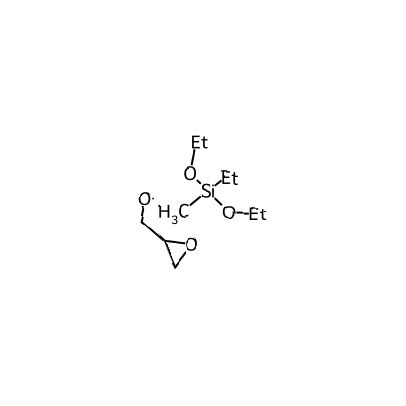 CCO[Si](C)(CC)OCC.[O]CC1CO1